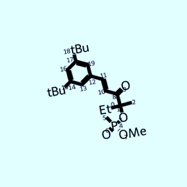 CCC(C)(OP(C)(=O)OC)C(=O)C=Cc1cc(C(C)(C)C)cc(C(C)(C)C)c1